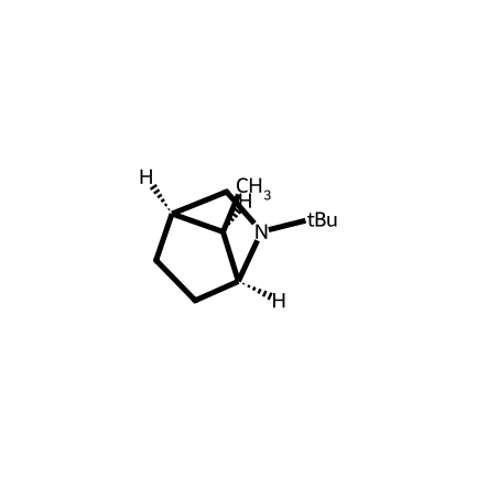 C[C@@H]1[C@H]2CC[C@@H]1N(C(C)(C)C)C2